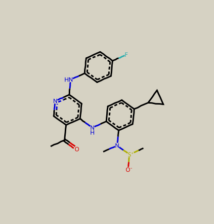 CC(=O)c1cnc(Nc2ccc(F)cc2)cc1Nc1ccc(C2CC2)cc1N(C)[S+](C)[O-]